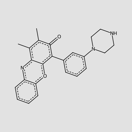 Cc1c2nc3ccccc3oc-2c(-c2cccc(N3CCNCC3)c2)c(=O)c1C